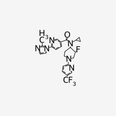 Cc1nccn1-c1ccc(C(=O)N(C2CC2)[C@@H]2CCN(c3ccc(C(F)(F)F)cn3)CC2F)cn1